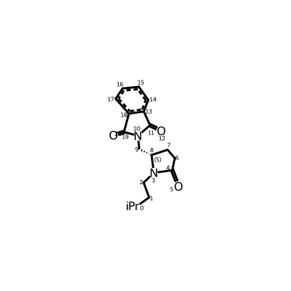 CC(C)CCN1C(=O)CC[C@H]1CN1C(=O)c2ccccc2C1=O